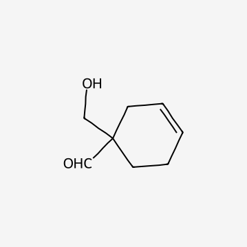 O=CC1(CO)CC=CCC1